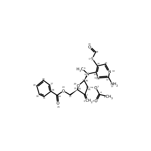 C=C1[C@@H](OC(C)=O)[C@H](N(C)c2nc(N)ncc2SC=O)O[C@@H]1COC(=O)c1ccccc1